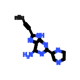 CCCCC#Cc1nc2c(N)nc(-c3cnccn3)nc2[nH]1